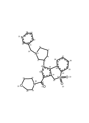 O=C(c1nn(C2CCCN(Cc3cccnc3)C2)c2c1CS(=O)(=O)c1ccccc1-2)N1CCOCC1